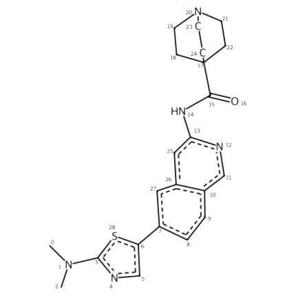 CN(C)c1ncc(-c2ccc3cnc(NC(=O)C45CCN(CC4)CC5)cc3c2)s1